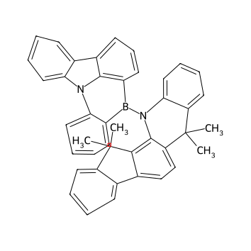 CC1(C)c2ccccc2N(B2c3ccccc3-n3c4ccccc4c4cccc2c43)c2c1ccc1c2C(C)(C)c2ccccc2-1